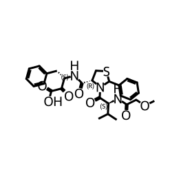 COCC(=O)N[C@H](C(=O)N1C(c2ccccc2)SC[C@H]1C(=O)N[C@@H](Cc1ccccc1)C(=O)C(=O)O)C(C)C